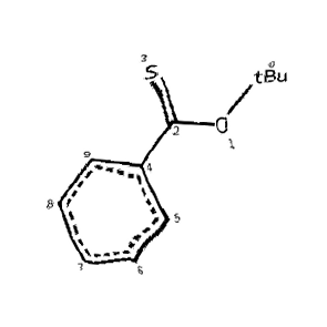 CC(C)(C)OC(=S)c1ccccc1